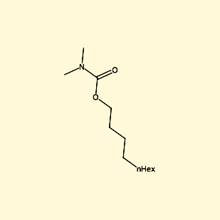 [CH2]CCCCCCCCCOC(=O)N(C)C